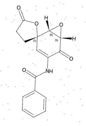 O=C1CC[C@@]2(C=C(NC(=O)c3ccccc3)C(=O)[C@H]3O[C@H]32)O1